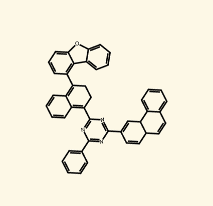 C1=CC2C=Cc3ccccc3C2C=C1c1nc(C2=c3ccccc3=C(c3cccc4oc5ccccc5c34)CC2)nc(-c2ccccc2)n1